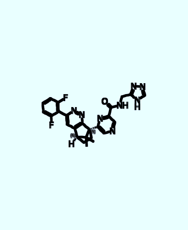 CC1(C)[C@H]2CC[C@]1(c1cncc(C(=O)NCc3nnc[nH]3)n1)c1nnc(-c3c(F)cccc3F)cc12